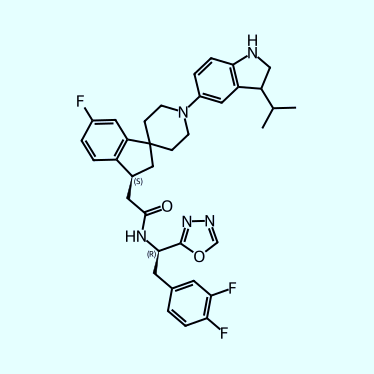 CC(C)C1CNc2ccc(N3CCC4(CC3)C[C@@H](CC(=O)N[C@H](Cc3ccc(F)c(F)c3)c3nnco3)c3ccc(F)cc34)cc21